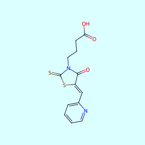 O=C(O)CCCN1C(=O)/C(=C/c2ccccn2)SC1=S